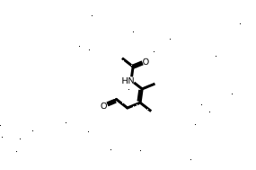 CC(=O)N/C(C)=C(/C)CC=O